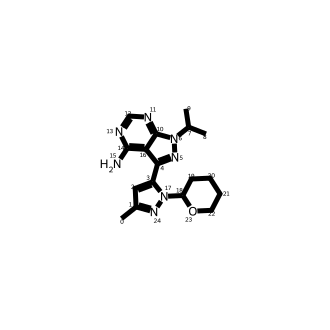 Cc1cc(-c2nn(C(C)C)c3ncnc(N)c23)n(C2CCCCO2)n1